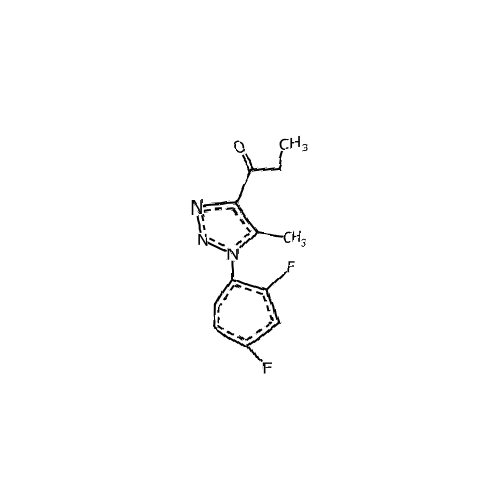 CCC(=O)c1nnn(-c2ccc(F)cc2F)c1C